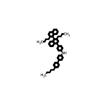 CCCCCc1ccc(-c2ccc(Nc3ccc(-c4cc(CCCC)c(-c5c(CCCC)ccc6ccccc56)c5ccccc45)cc3)cc2)cc1